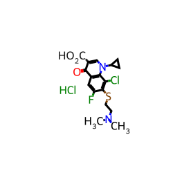 CN(C)CCSc1c(F)cc2c(=O)c(C(=O)O)cn(C3CC3)c2c1Cl.Cl